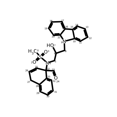 CS(=O)(=O)N(CC(O)Cn1c2ccccc2c2ccccc21)C1(C=O)C=CCc2ccccc21